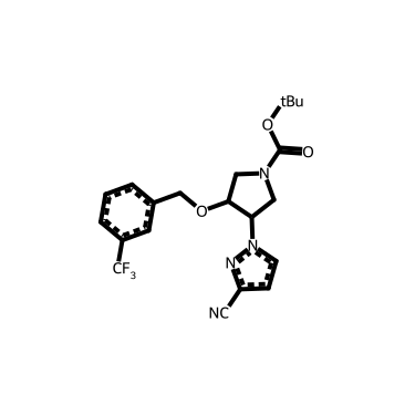 CC(C)(C)OC(=O)N1CC(OCc2cccc(C(F)(F)F)c2)C(n2ccc(C#N)n2)C1